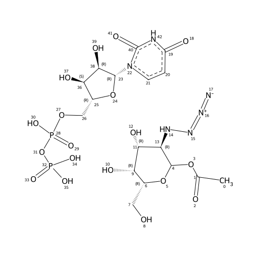 CC(=O)OC1O[C@H](CO)[C@H](O)[C@H](O)[C@H]1NN=[N+]=[N-].O=c1ccn([C@@H]2O[C@H](COP(=O)(O)OP(=O)(O)O)[C@@H](O)[C@H]2O)c(=O)[nH]1